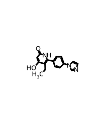 CCc1c(O)cc(=O)[nH]c1-c1ccc(-n2ccnc2)cc1